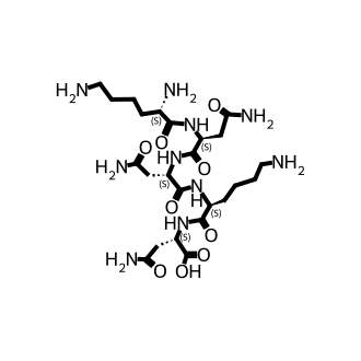 NCCCC[C@H](NC(=O)[C@H](CC(N)=O)NC(=O)[C@H](CC(N)=O)NC(=O)[C@@H](N)CCCCN)C(=O)N[C@@H](CC(N)=O)C(=O)O